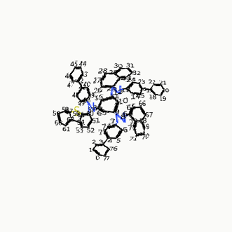 c1ccc(-c2ccc(N(c3cc(N(c4ccc(-c5ccccc5)cc4)c4cccc5ccccc45)cc(N(c4ccc(-c5ccccc5)cc4)c4cccc5c4sc4ccccc45)c3)c3cccc4ccccc34)cc2)cc1